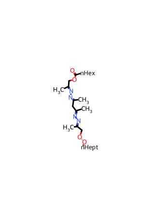 CCCCCCCOOC/C(C)=N/N=C(\C)C/C(C)=N/N=C(\C)COC(=O)CCCCCC